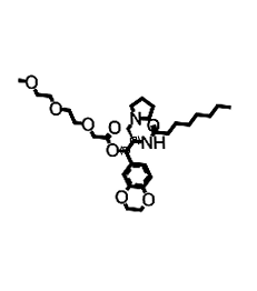 CCCCCCCC(=O)N[C@H](CN1CCCC1)[C@H](OC(=O)COCCOCCOC)c1ccc2c(c1)OCCO2